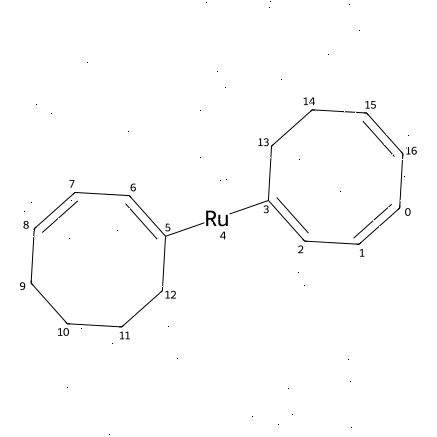 C1=CC=[C]([Ru][C]2=CC=CCCCC2)CCC=C1